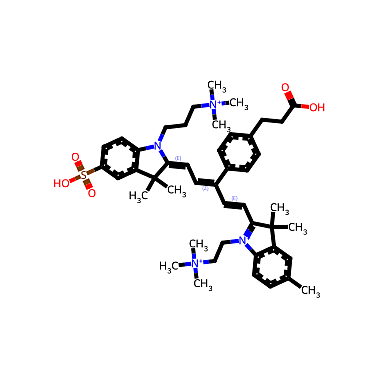 Cc1ccc2c(c1)C(C)(C)C(/C=C/C(=C/C=C1/N(CCC[N+](C)(C)C)c3ccc(S(=O)(=O)O)cc3C1(C)C)c1ccc(CCC(=O)O)cc1)=[N+]2CC[N+](C)(C)C